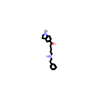 CC(=O)N1CCc2cc(C(=O)CCCCNCCc3ccccc3)ccc21